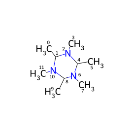 CC1N(C)C(C)N(C)C(C)N1C